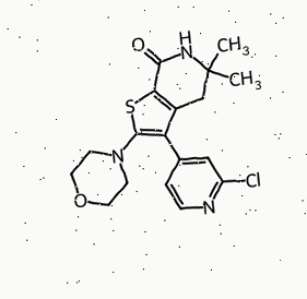 CC1(C)Cc2c(sc(N3CCOCC3)c2-c2ccnc(Cl)c2)C(=O)N1